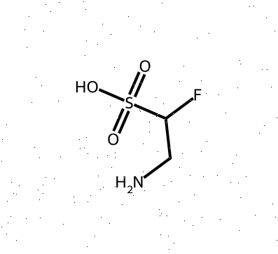 NCC(F)S(=O)(=O)O